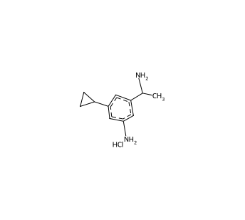 CC(N)c1cc(N)cc(C2CC2)c1.Cl